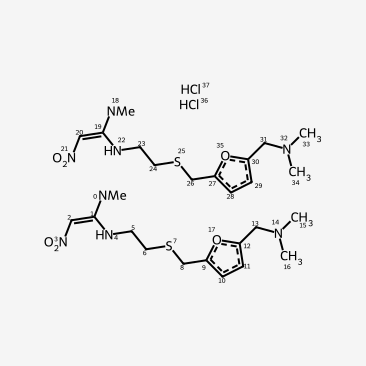 CN/C(=C/[N+](=O)[O-])NCCSCc1ccc(CN(C)C)o1.CN/C(=C/[N+](=O)[O-])NCCSCc1ccc(CN(C)C)o1.Cl.Cl